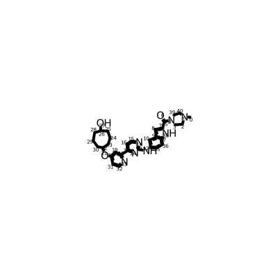 CN1CCN(C(=O)c2cc3cc(Nc4nccc(-c5cc(OC6CCCC(O)CCC6)ccn5)n4)ccc3[nH]2)CC1